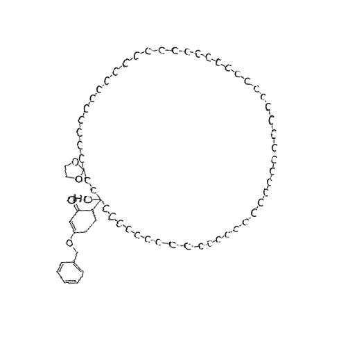 O=C1C=C(OCc2ccccc2)CCC1C1(O)CCCCCCCCCCCCCCCCCCCCCCCCCCCCCCCCCCCCCCCCCCCCCCCCC2(CC1)OCCO2